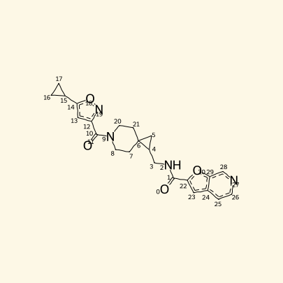 O=C(NCC1CC12CCN(C(=O)c1cc(C3CC3)on1)CC2)c1cc2ccncc2o1